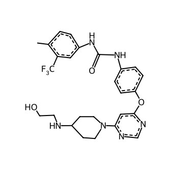 Cc1ccc(NC(=O)Nc2ccc(Oc3cc(N4CCC(NCCO)CC4)ncn3)cc2)cc1C(F)(F)F